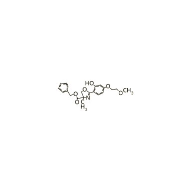 COCCOc1ccc(C2=NC(C)(C(=O)OCc3ccccc3)CO2)c(O)c1